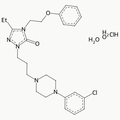 CCc1nn(CCCN2CCN(c3cccc(Cl)c3)CC2)c(=O)n1CCOc1ccccc1.Cl.O.O